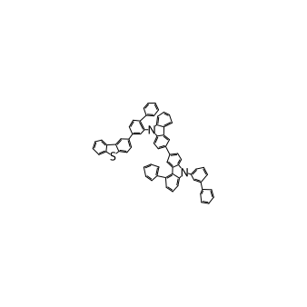 c1ccc(-c2cccc(-n3c4ccc(-c5ccc6c(c5)c5ccccc5n6-c5cc(-c6ccc7sc8ccccc8c7c6)ccc5-c5ccccc5)cc4c4c(-c5ccccc5)cccc43)c2)cc1